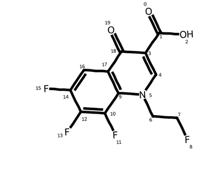 O=C(O)c1cn(CCF)c2c(F)c(F)c(F)cc2c1=O